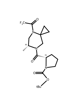 C[C@@H]1CN(C(=O)C(F)(F)F)C2(CC2)CN1C(=O)[C@@H]1CCCN1C(=O)OC(C)(C)C